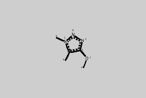 COc1nnn(C)c1C